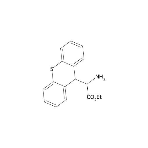 CCOC(=O)C(N)C1c2ccccc2Sc2ccccc21